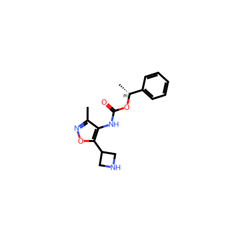 Cc1noc(C2CNC2)c1NC(=O)O[C@H](C)c1ccccc1